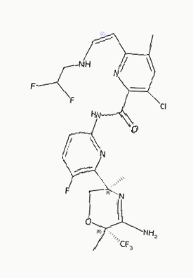 Cc1cc(Cl)c(C(=O)Nc2ccc(F)c([C@]3(C)CO[C@@](C)(C(F)(F)F)C(N)=N3)n2)nc1/C=C\NCC(F)F